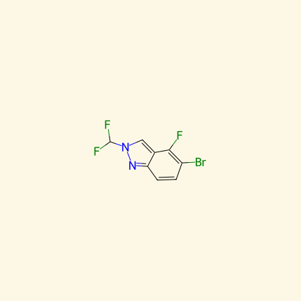 Fc1c(Br)ccc2nn(C(F)F)cc12